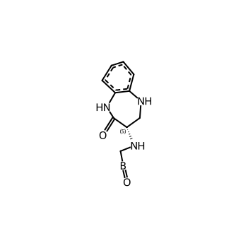 O=BCN[C@H]1CNc2ccccc2NC1=O